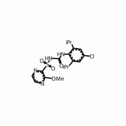 COc1nccnc1S(=O)(=O)NC(=O)Nc1c(C(C)C)cc(Cl)cc1C(C)C